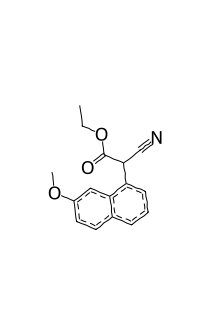 CCOC(=O)C(C#N)c1cccc2ccc(OC)cc12